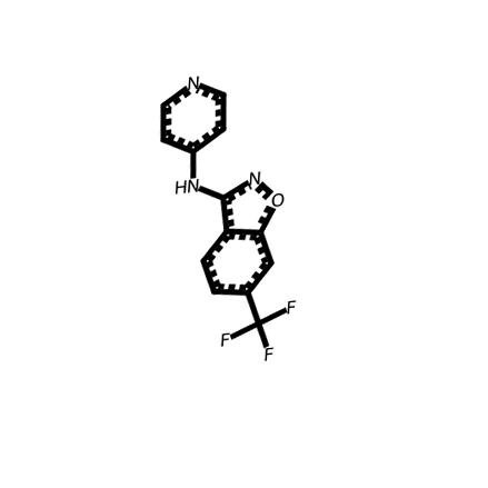 FC(F)(F)c1ccc2c(Nc3ccncc3)noc2c1